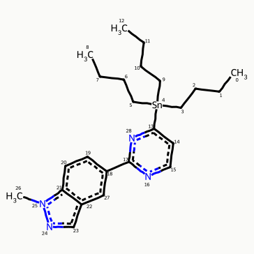 CCC[CH2][Sn]([CH2]CCC)([CH2]CCC)[c]1ccnc(-c2ccc3c(cnn3C)c2)n1